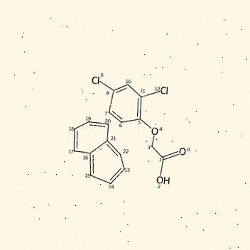 O=C(O)COc1ccc(Cl)cc1Cl.c1ccc2ccccc2c1